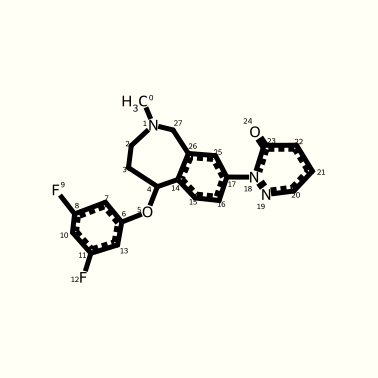 CN1CCC(Oc2cc(F)cc(F)c2)c2ccc(-n3ncccc3=O)cc2C1